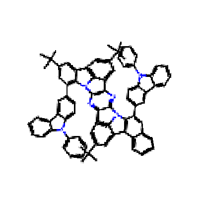 CC(C)(C)c1cc(-c2ccc3c(c2)c2ccccc2n3-c2ccccc2)c2c(c1)c1cc(C(C)(C)C)cc3c4nc5c(nc4n2c13)c1cc(C(C)(C)C)cc2c3c4ccccc4cc(-c4ccc6c(c4)c4ccccc4n6-c4ccccc4)c3n5c12